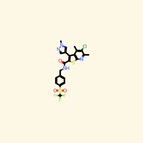 Cc1nc2sc(C(=O)NCc3ccc(S(=O)(=O)C(F)(F)F)cc3)c(-c3cnn(C)c3)c2c(C)c1Cl